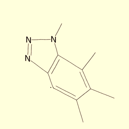 Cc1[c]c2nnn(C)c2c(C)c1C